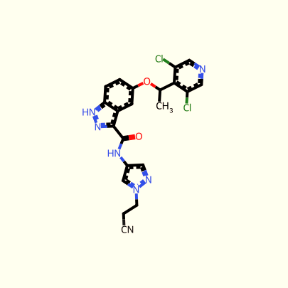 CC(Oc1ccc2[nH]nc(C(=O)Nc3cnn(CCC#N)c3)c2c1)c1c(Cl)cncc1Cl